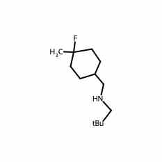 CC(C)(C)CNCC1CCC(C)(F)CC1